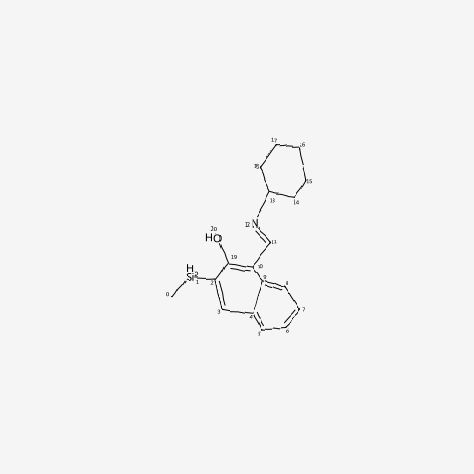 C[SiH2]c1cc2ccccc2c(/C=N/C2CCCCC2)c1O